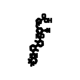 Cc1c(-c2nc3cc(CN4CC[C@@H](C(=O)O)C4)cc(C#N)c3o2)cccc1-c1cccc(-c2nc3c(s2)C(C)(C)N(C)CC3)c1C